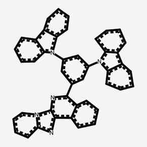 c1ccc2c(c1)c(-c1cc(-n3c4ccccc4c4ccccc43)cc(-n3c4ccccc4c4ccccc43)c1)nc1c2nc2ccccn21